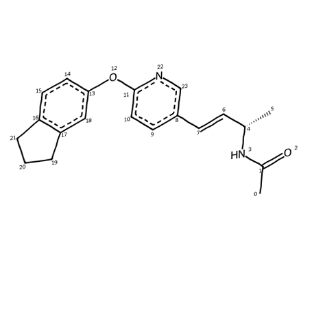 CC(=O)N[C@@H](C)/C=C/c1ccc(Oc2ccc3c(c2)CCC3)nc1